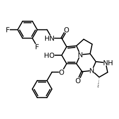 C[C@H]1CNC2C3CCC4=C(C(=O)NCc5ccc(F)cc5F)C(O)C(OCc5ccccc5)=C(C(=O)N21)N43